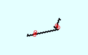 CCC(CCCCCCCCCCCCCCCC(=O)OCCCCC(C)C)C(CC)C(=O)OCCCCC(C)C